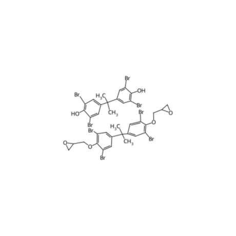 CC(C)(c1cc(Br)c(O)c(Br)c1)c1cc(Br)c(O)c(Br)c1.CC(C)(c1cc(Br)c(OCC2CO2)c(Br)c1)c1cc(Br)c(OCC2CO2)c(Br)c1